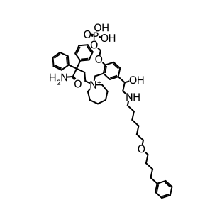 NC(=O)C(CC[N+]1(Cc2cc(C(O)CNCCCCCCOCCCCc3ccccc3)ccc2OCOP(=O)(O)O)CCCCCC1)(c1ccccc1)c1ccccc1